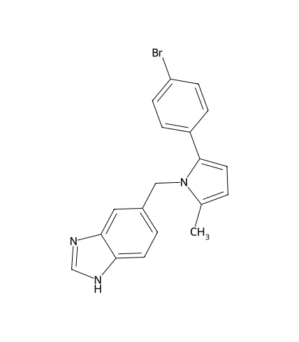 Cc1ccc(-c2ccc(Br)cc2)n1Cc1ccc2[nH]cnc2c1